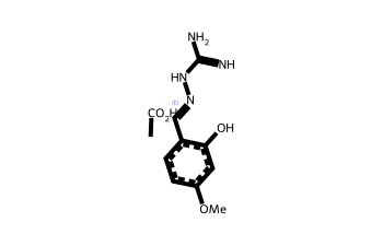 CC(=O)O.COc1ccc(/C=N/NC(=N)N)c(O)c1